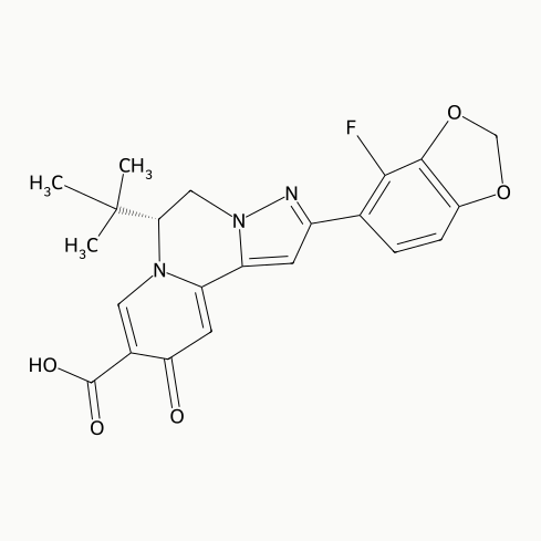 CC(C)(C)[C@@H]1Cn2nc(-c3ccc4c(c3F)OCO4)cc2-c2cc(=O)c(C(=O)O)cn21